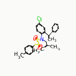 C=C(C)CN(c1ccc(Cl)cc1C(=C)c1ccccc1)S(=O)(=O)c1ccc(C)cc1